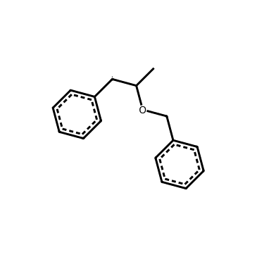 CC([CH]c1ccccc1)OCc1ccccc1